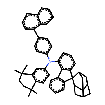 CC1(C)CCC(C)(C)c2cc(N(c3ccc(-c4cccc5ccccc45)cc3)c3cccc4c3-c3ccccc3C43C4CC5CC(C4)CC3C5)ccc21